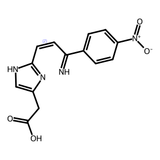 N=C(/C=C\c1nc(CC(=O)O)c[nH]1)c1ccc([N+](=O)[O-])cc1